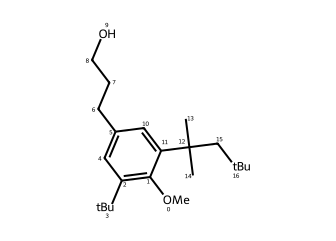 COc1c(C(C)(C)C)cc(CCCO)cc1C(C)(C)CC(C)(C)C